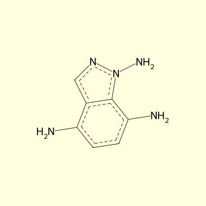 Nc1ccc(N)c2c1cnn2N